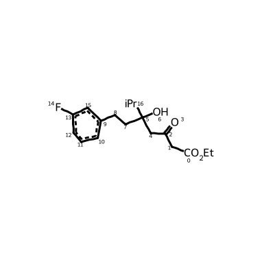 CCOC(=O)CC(=O)CC(O)(CCc1cccc(F)c1)C(C)C